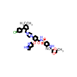 C[C@@H]1COC[C@H](CNc2ccc(S(=O)(=O)NC(=O)c3ccc(N4CCN(CC5=C(c6ccc(Cl)cc6)CC(C)(C)CC5)CC4)cc3Oc3cnc4[nH]ccc4c3)cc2[N+](=O)[O-])O1